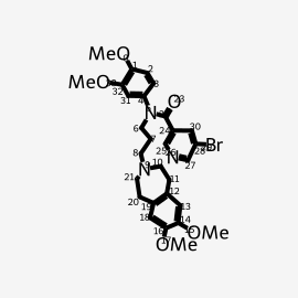 COc1ccc(N(CCCN2CCc3cc(OC)c(OC)cc3CC2)C(=O)c2cncc(Br)c2)cc1OC